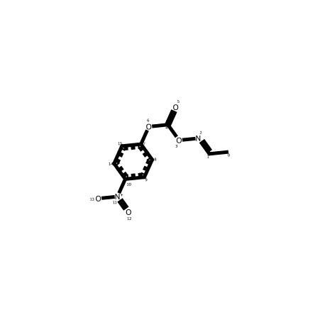 CC=NOC(=O)Oc1ccc([N+](=O)[O-])cc1